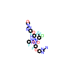 N#Cc1cnc2ccc(Oc3ccc(NC(=O)N(c4ccc(Cl)c(C(F)(F)F)c4)N(C(=O)Nc4cccc(F)c4)c4ccc(Oc5ccc6ncc(N7CCOCC7)nc6c5)c(F)c4)cc3F)cc2n1